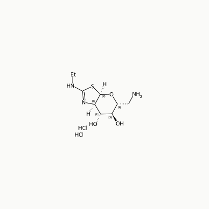 CCNC1=N[C@@H]2[C@@H](O)[C@H](O)[C@@H](CN)O[C@@H]2S1.Cl.Cl